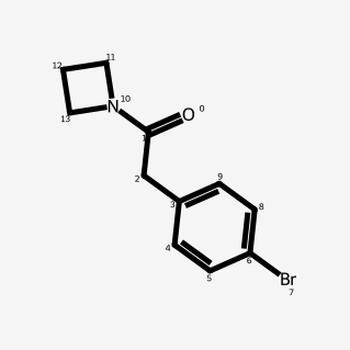 O=C(Cc1ccc(Br)cc1)N1CCC1